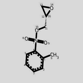 Cc1ccccc1S(=O)(=O)OC[C@@H]1CO1